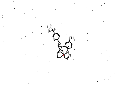 Cc1ccc(-n2nccn2)c(C(=O)N2C3CCC2C(COc2ccc(C(C)(F)F)cn2)C3)c1